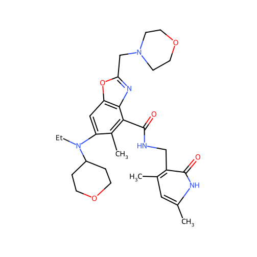 CCN(c1cc2oc(CN3CCOCC3)nc2c(C(=O)NCc2c(C)cc(C)[nH]c2=O)c1C)C1CCOCC1